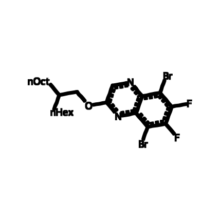 CCCCCCCCC(CCCCCC)COc1cnc2c(Br)c(F)c(F)c(Br)c2n1